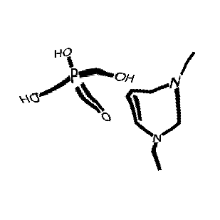 CN1C=CN(C)C1.O=P(O)(O)O